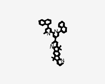 Cc1cc(-c2cccc3ccccc23)cc(-c2cc(-c3cnc4c(c3)C(C)(C)c3cc5c(cc3-4)C(C)(C)c3cccnc3-5)cc(-c3cccc4ccccc34)n2)n1